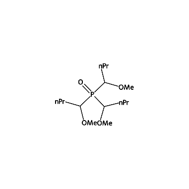 CCCC(OC)P(=O)(C(CCC)OC)C(CCC)OC